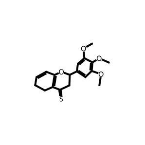 COc1cc(C2CC(=S)C3=C(C=CCC3)O2)cc(OC)c1OC